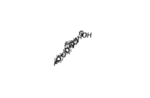 O=C(O)CCN1CCc2nc(-c3ccc(OCc4ccc(F)cc4)cc3)c(F)cc2C1